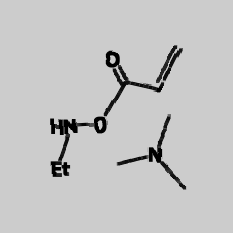 C=CC(=O)ONCC.CN(C)C